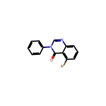 O=c1c2c(Br)cccc2ncn1-c1ccccc1